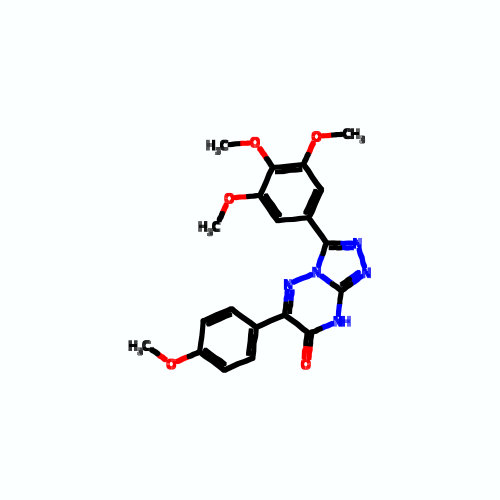 COc1ccc(-c2nn3c(-c4cc(OC)c(OC)c(OC)c4)nnc3[nH]c2=O)cc1